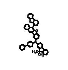 CC1(C)c2ccccc2-c2ccc(N(c3ccc(-c4ccccc4)cc3)c3ccc4oc5c(-c6cccc7c6sc6ccccc67)c6ccccc6cc5c4c3)cc21